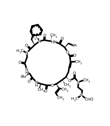 C/C=C(\C)[C@H]1OC(=O)[C@@H](C)NC(=O)[C@H]([C@H](C)CC)NC(=O)CN(C)C(=O)[C@@H](Cc2ccccc2)N(C)C(=O)[C@H](C)NC(=O)[C@@H](CC(C)C)OC(=O)/C(C)=C/C[C@H](OC(=O)N(C)CCN(C)C=O)[C@@H]1C